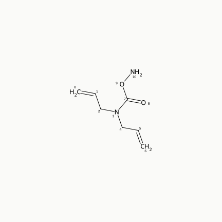 C=CCN(CC=C)C(=O)ON